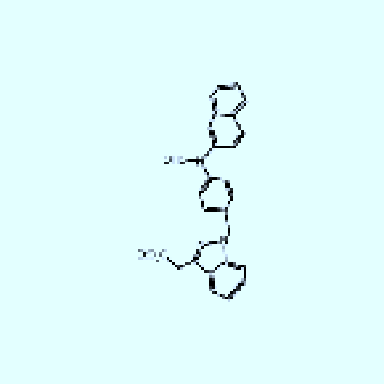 CCOC(=O)Cc1nn(Cc2ccc(N(C=O)c3ccc4ccccc4c3)cc2)c2ccccc12